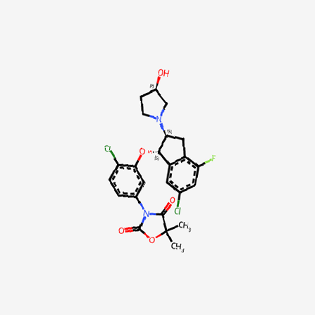 CC1(C)OC(=O)N(c2ccc(Cl)c(O[C@H]3c4cc(Cl)cc(F)c4C[C@@H]3N3CC[C@@H](O)C3)c2)C1=O